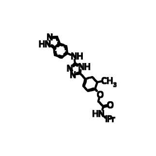 CC(C)NC(=O)COC1=CC=C(c2nnc(Nc3ccc4[nH]ncc4c3)[nH]2)CC1C